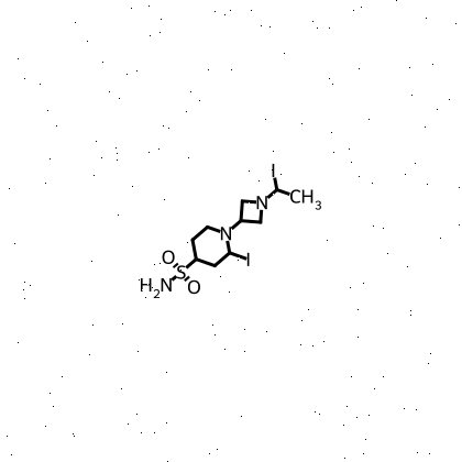 CC(I)N1CC(N2CCC(S(N)(=O)=O)CC2I)C1